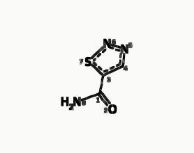 NC(=O)c1cnns1